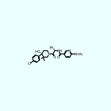 CC(=O)Nc1ccc(C(=O)N[C@@H](C(=O)N2CC[C@](O)(c3ccc(Cl)cc3)C(C)(C)C2)C(C)C)cn1